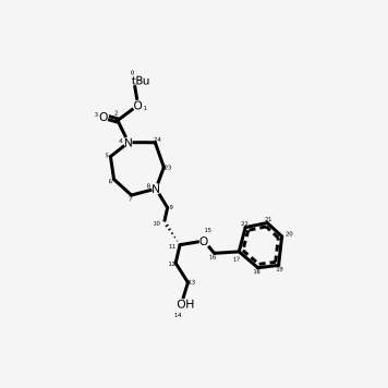 CC(C)(C)OC(=O)N1CCCN(CC[C@@H](CCO)OCc2ccccc2)CC1